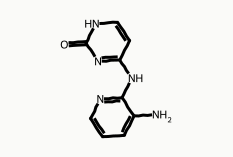 Nc1cccnc1Nc1cc[nH]c(=O)n1